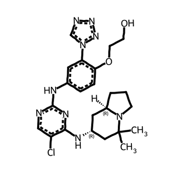 CC1(C)C[C@H](Nc2nc(Nc3ccc(OCCO)c(-n4cnnn4)c3)ncc2Cl)C[C@H]2CCCN21